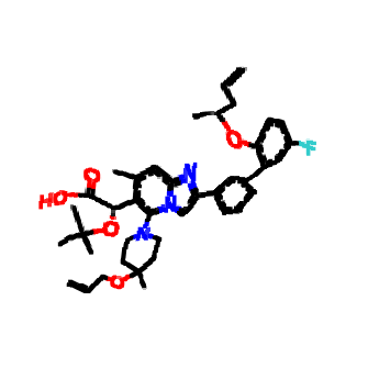 C=CCOC1(C)CCN(c2c([C@H](OC(C)(C)C)C(=O)O)c(C)cc3nc(-c4cccc(-c5cc(F)ccc5O[C@@H](C)CC=C)c4)cn23)CC1